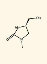 CN1C[C@H](CO)NC1=O